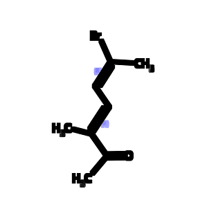 CC(=O)/C(C)=C/C=C(\C)Br